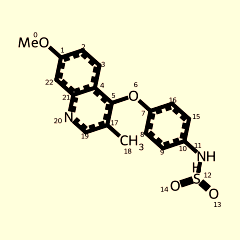 COc1ccc2c(Oc3ccc(N[SH](=O)=O)cc3)c(C)cnc2c1